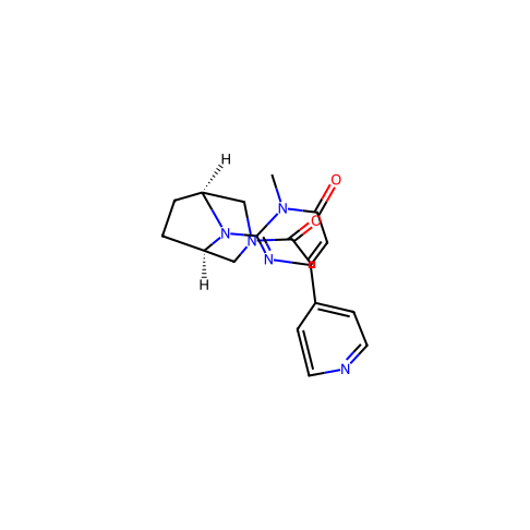 CC(=O)N1C[C@H]2CC[C@@H](C1)N2c1nc(-c2ccncc2)cc(=O)n1C